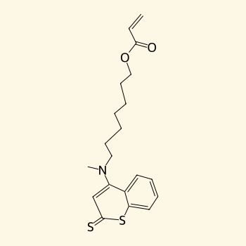 C=CC(=O)OCCCCCCCN(C)c1cc(=S)sc2ccccc12